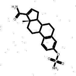 C[C@]12CCC3c4ccc(OS(N)(=O)=O)cc4CCC3C1CC=C2C(N)=O